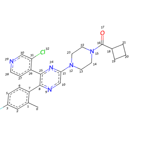 Cc1cc(F)ccc1-c1ncc(N2CCN(C(=O)C3CCC3)CC2)nc1-c1ccncc1Cl